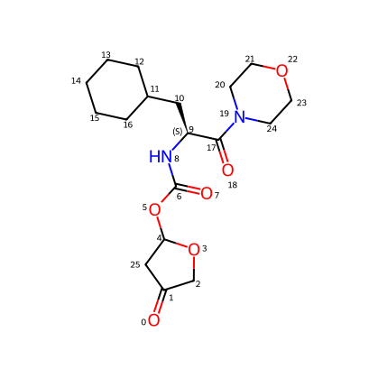 O=C1COC(OC(=O)N[C@@H](CC2CCCCC2)C(=O)N2CCOCC2)C1